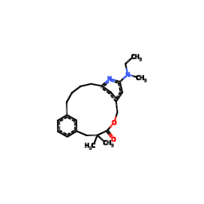 CCN(C)c1cc2cc(n1)CCCCc1cccc(c1)CC(C)(C)C(=O)OC2